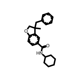 CC1(Cc2ccccc2)COc2ccc(C(=O)NC3CCCCC3)cc21